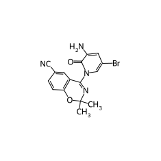 CC1(C)N=C(n2cc(Br)cc(N)c2=O)c2cc(C#N)ccc2O1